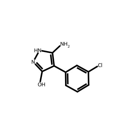 Nc1[nH]nc(O)c1-c1cccc(Cl)c1